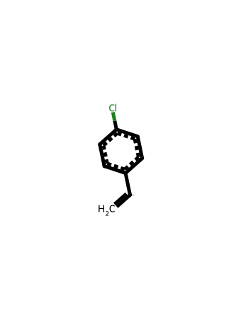 C=[C]c1ccc(Cl)cc1